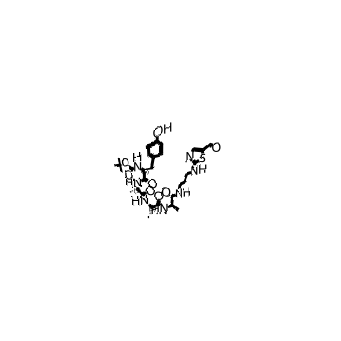 CC(NC(=O)[C@H](C)NC(=O)[C@H](C)NC(=O)[C@H](Cc1ccc(O)cc1)NC(=O)OC(C)(C)C)C(=O)NCCCNc1ncc(C=O)s1